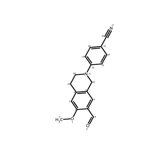 COc1cc2c(cc1C=O)CN(c1ccc(C#N)cc1)CC2